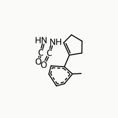 Cc1ccccc1C1=CCCC1.N=C=O.N=C=O